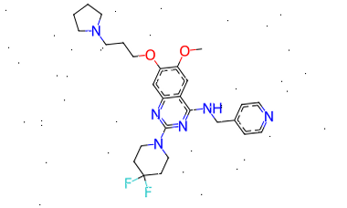 COc1cc2c(NCc3ccncc3)nc(N3CCC(F)(F)CC3)nc2cc1OCCCN1CCCC1